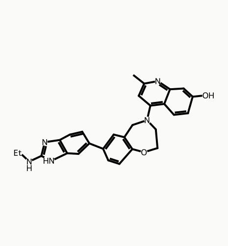 CCNc1nc2ccc(-c3ccc4c(c3)CN(c3cc(C)nc5cc(O)ccc35)CCO4)cc2[nH]1